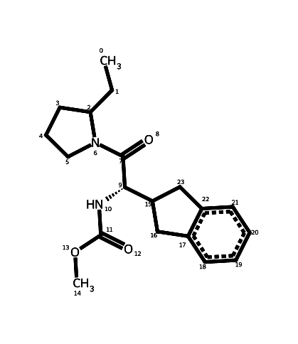 CCC1CCCN1C(=O)[C@@H](NC(=O)OC)C1Cc2ccccc2C1